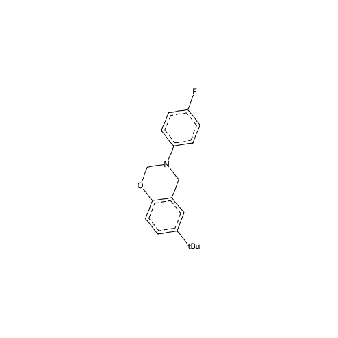 CC(C)(C)c1ccc2c(c1)CN(c1ccc(F)cc1)CO2